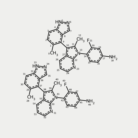 Cc1ccc2[nH]ncc2c1-c1c(C)n(-c2ccc(N)cc2F)c2ncccc12.Cc1ccc2[nH]ncc2c1-c1c(C)n(-c2ccc(N)cc2F)c2ncccc12